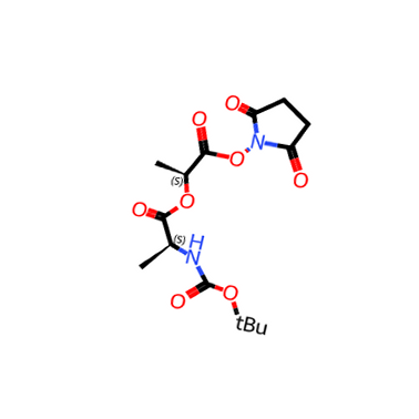 C[C@H](NC(=O)OC(C)(C)C)C(=O)O[C@@H](C)C(=O)ON1C(=O)CCC1=O